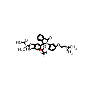 CN(C)CCOc1cccc(N2C(=O)c3ccccc3C2(OC(=O)C(F)(F)F)c2ccc3[nH]c(N(C)C(=O)O)nc3c2)c1